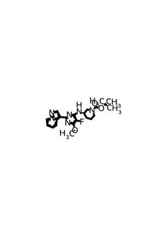 COc1nc(-c2cnn3ccccc23)nc(N[C@@H]2CCCN(C(=O)OC(C)(C)C)C2)c1F